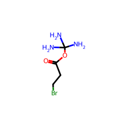 NC(N)(N)OC(=O)CCBr